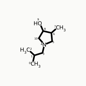 CC(C)CN1CC(C)C(O)C1